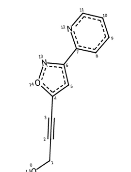 OCC#Cc1cc(-c2ccccn2)no1